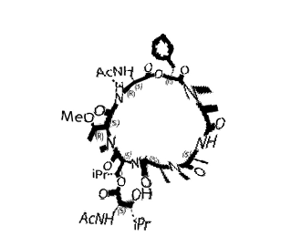 C=C1C(=O)N[C@@H](C)C(=O)N(C)[C@@H](C)C(=O)N[C@@H]([C@H](OC(=O)[C@@H](NC(C)=O)[C@H](O)C(C)C)C(C)C)C(=O)N(C)[C@@H]([C@@H](C)OC)C(=O)N[C@H](C)[C@H](NC(C)=O)C(=O)O[C@H](Cc2ccccc2)C(=O)N1C